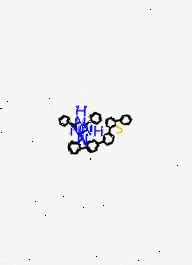 c1ccc(C2=NC(n3c4ccccc4c4ccc(-c5cccc(-c6cccc7c6sc6ccccc67)c5)cc43)NC(c3ccccc3)N2)cc1